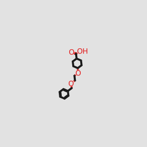 O=C(O)C1CCC(OCCOCc2ccccc2)CC1